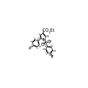 CCOC(=O)c1cc(-c2ccc(F)cc2)n(S(=O)(=O)c2ccc(F)cc2)c1